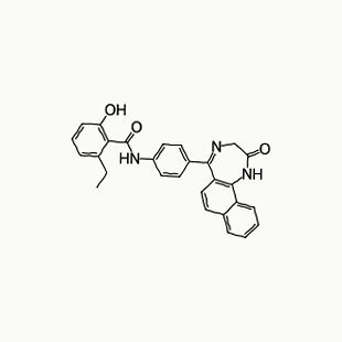 CCc1cccc(O)c1C(=O)Nc1ccc(C2=NCC(=O)Nc3c2ccc2ccccc32)cc1